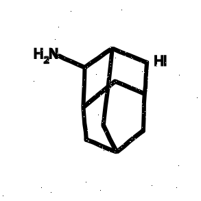 I.NC1C2CC3CC(C2)CC1C3